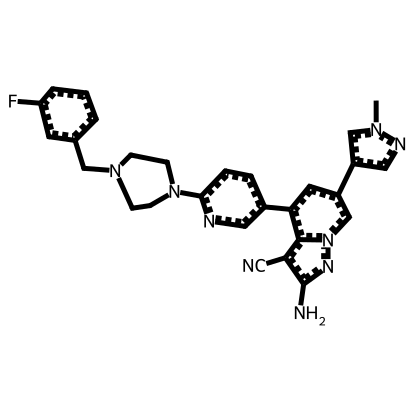 Cn1cc(-c2cc(-c3ccc(N4CCN(Cc5cccc(F)c5)CC4)nc3)c3c(C#N)c(N)nn3c2)cn1